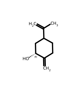 C=C(C)C1CCC(=C)[C@H](O)C1